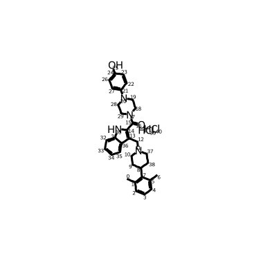 Cc1cccc(C)c1C1CCN(Cc2c(C(=O)N3CCN(c4ccc(O)cc4)CC3)[nH]c3ccccc23)CC1.Cl.Cl